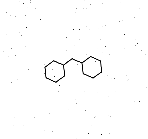 [CH]1CCC(CC2CC[CH]CC2)CC1